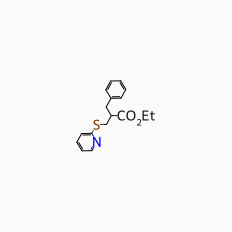 CCOC(=O)C(CSc1ccccn1)Cc1ccccc1